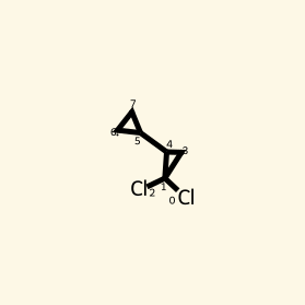 ClC1(Cl)CC1C1[CH]C1